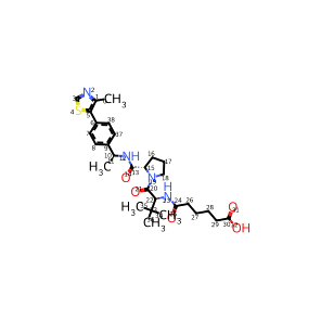 Cc1ncsc1-c1ccc([C@H](C)NC(=O)[C@@H]2CCCN2C(=O)[C@@H](NC(=O)CCCCC(=O)O)C(C)(C)C)cc1